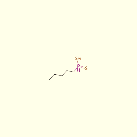 CCCCC[PH](=S)S